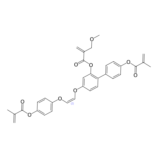 C=C(C)C(=O)Oc1ccc(O/C=C\Oc2ccc(-c3ccc(OC(=O)C(=C)C)cc3)c(OC(=O)C(=C)COC)c2)cc1